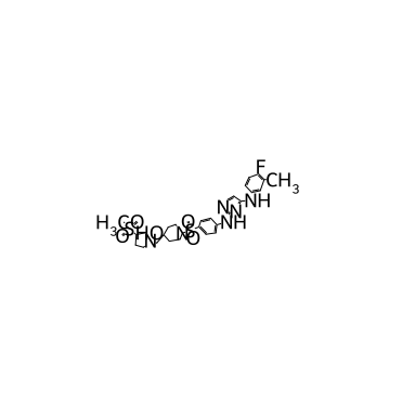 Cc1cc(Nc2ccnc(Nc3ccc(S(=O)(=O)N4CCC(O)(CN5CCC(S(C)(=O)=O)C5)CC4)cc3)n2)ccc1F